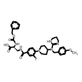 COc1ccc(CN(C2=NCCCN2)C2CCN(c3ccc(C(=O)NC[C@H](NC(=O)OCc4ccccc4)C(=O)O)cc3F)CC2)cc1